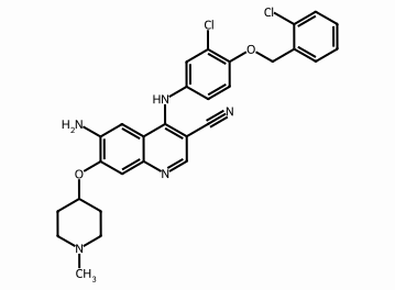 CN1CCC(Oc2cc3ncc(C#N)c(Nc4ccc(OCc5ccccc5Cl)c(Cl)c4)c3cc2N)CC1